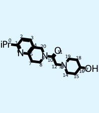 CC(C)c1ccc2c(n1)CCN(C(=O)CN1CCC(O)CC1)C2